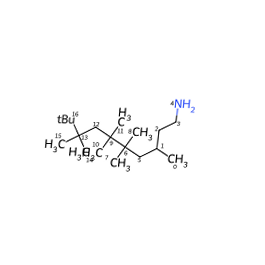 CC(CCN)CC(C)(C)C(C)(C)CC(C)(C)C(C)(C)C